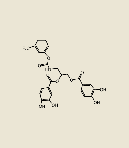 O=C(NCC(COC(=O)c1ccc(O)c(O)c1)OC(=O)c1ccc(O)c(O)c1)Oc1cccc(C(F)(F)F)c1